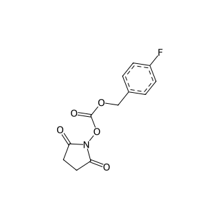 O=C(OCc1ccc(F)cc1)ON1C(=O)CCC1=O